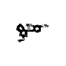 CCOc1nc(NCc2ccc(OC)cc2OC)c2ccccc2n1